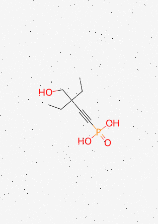 CCC(C#CP(=O)(O)O)(CC)CO